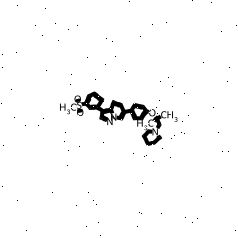 CC(C)(CN1CCCCC1)Oc1ccc(-c2ccc3c(-c4cccc(S(C)(=O)=O)c4)cnn3c2)cc1